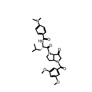 COc1cc(OC)cc(C(=O)N2CC(=O)C3C2CCN3C(=O)[C@H](CC(C)C)NC(=O)c2ccc(N(C)C)cc2)c1